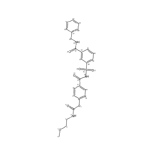 COCCNC(=O)Oc1ccc(C(=O)NS(=O)(=O)c2cccc(C(=O)NCc3ccccc3)c2)cn1